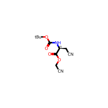 CC(C)(C)OC(=O)N[C@@H](CC#N)C(=O)OCC#N